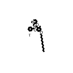 CCCCCCCCCCCCOc1ccc(C(=O)N(Cc2cccc[n+]2C)C(=O)c2ccccc2)c(C)c1.[I-]